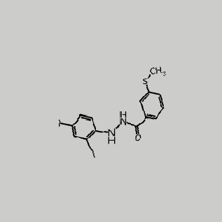 CSc1cccc(C(=O)NNc2ccc(I)cc2I)c1